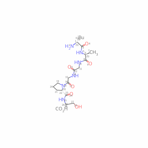 CC[C@H](C)[C@H](N)C(=O)N[C@@H](C)C(=O)NCC(=O)NCC(=O)N1CCC[C@H]1C(=O)N[C@@H](CO)C(=O)O